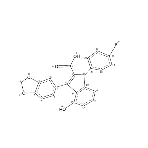 O=C(O)C1=C(c2ccc3c(c2)OCO3)c2c(O)cccc2C1c1ccc(F)cc1